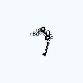 CCCCC(CCC)Oc1ccccc1OC(=O)c1ccc(OCCCCCCC2CC2)c(F)c1F